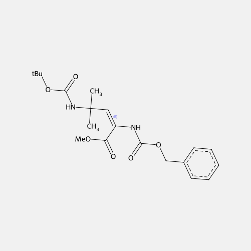 COC(=O)/C(=C\C(C)(C)NC(=O)OC(C)(C)C)NC(=O)OCc1ccccc1